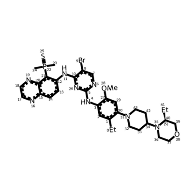 CCc1cc(Nc2ncc(Br)c(Nc3ccc4nccnc4c3P(C)(C)=S)n2)c(OC)cc1N1CCC(N2CCOC[C@@H]2CC)CC1